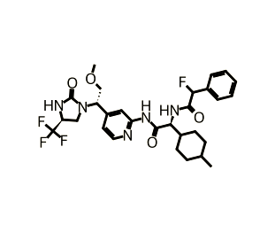 COC[C@H](c1ccnc(NC(=O)[C@@H](NC(=O)C(F)c2ccccc2)C2CCC(C)CC2)c1)N1C[C@@H](C(F)(F)F)NC1=O